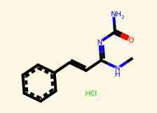 CNC(C=Cc1ccccc1)=NC(N)=O.Cl